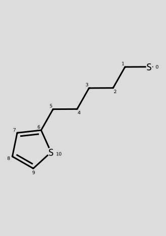 [S]CCCCCc1cccs1